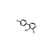 N#Cc1c(-c2ccc(F)cc2)ccnc1Cl